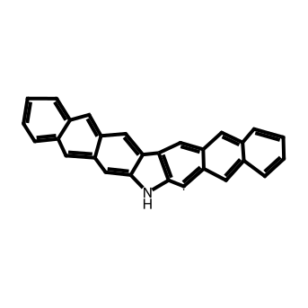 [c]1c2cc3ccccc3cc2cc2c1[nH]c1cc3cc4ccccc4cc3cc12